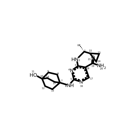 C[C@@H](Nc1nc(NC23CCC(O)(CC2)CC3)ncc1C(N)=O)C1CC1